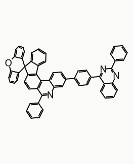 c1ccc(-c2nc(-c3ccc(-c4ccc5c(c4)nc(-c4ccccc4)c4ccc6c(c45)-c4ccccc4C64c5ccccc5Oc5ccccc54)cc3)c3ccccc3n2)cc1